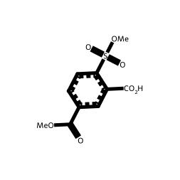 COC(=O)c1ccc(S(=O)(=O)OC)c(C(=O)O)c1